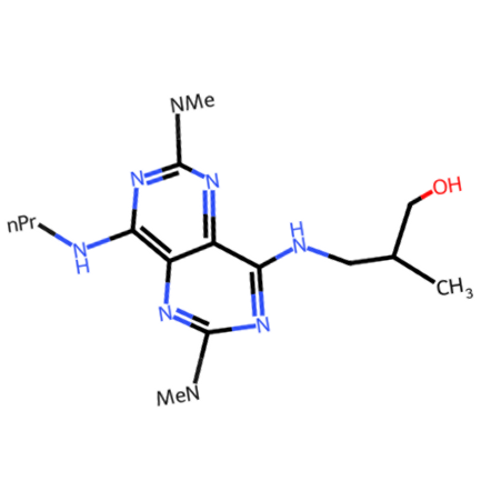 CCCNc1nc(NC)nc2c(NCC(C)CO)nc(NC)nc12